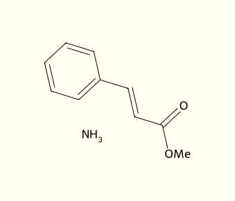 COC(=O)/C=C/c1ccccc1.N